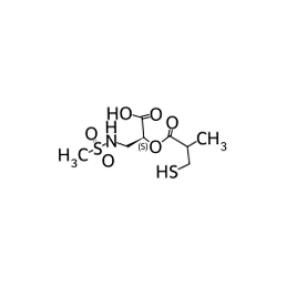 CC(CS)C(=O)O[C@@H](CNS(C)(=O)=O)C(=O)O